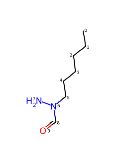 CCCCCCN(N)C=O